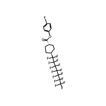 O=C(Oc1ccc(F)cc1)[C@H]1CC[C@H](C(F)(F)C(F)(F)C(F)(F)C(F)(F)C(F)(F)C(F)(F)C(F)(F)F)CC1